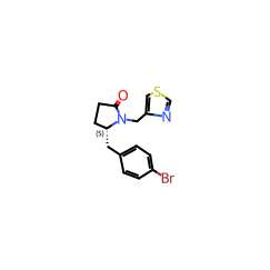 O=C1CC[C@@H](Cc2ccc(Br)cc2)N1Cc1cscn1